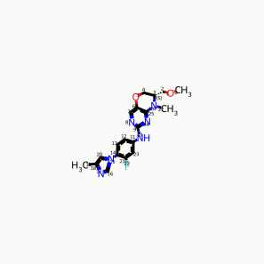 COC[C@H]1COc2cnc(Nc3ccc(-n4cnc(C)c4)c(F)c3)nc2N1C